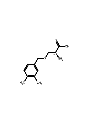 Cc1ccc(CSC[C@H](N)C(=O)O)cc1C